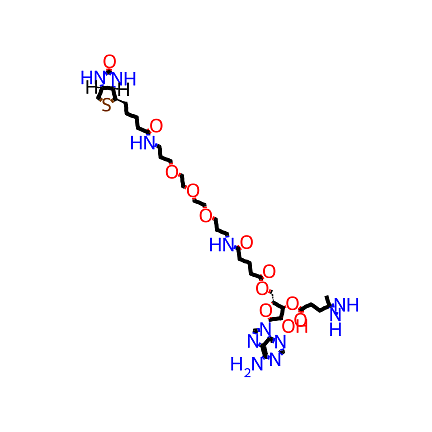 CC1(CCC(=O)O[C@H]2[C@@H](O)[C@H](n3cnc4c(N)ncnc43)O[C@@H]2COC(=O)CCCC(=O)NCCCOCCOCCOCCCNC(=O)CCCC[C@H]2SC[C@H]3NC(=O)N[C@H]32)NN1